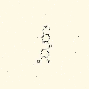 NCc1ccc(Oc2ccc(Cl)c(F)c2)nc1